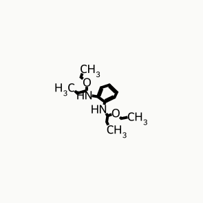 CCOC(CC)Nc1ccccc1NC(CC)OCC